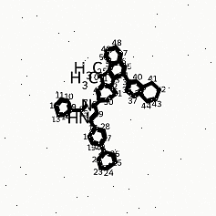 CC1(C)c2cc(C3=NC(c4ccccc4)NC(c4ccc(-c5ccccc5)cc4)=C3)ccc2-c2c(-c3ccc4c(c3)CCC=C4)cc3ccccc3c21